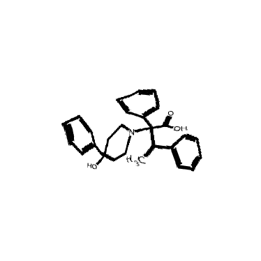 CC(c1ccccc1)C(C(=O)O)(c1ccccc1)N1CCC(O)(c2ccccc2)CC1